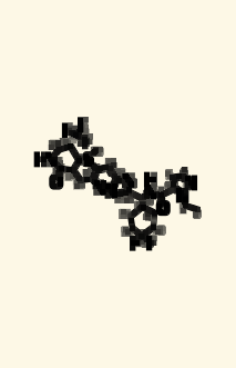 CCn1nccc1C(=O)NC(c1cn2nc(CC3C[C@@H](C(F)(F)F)CNC3=O)c(SC)cc2n1)C1CCC(F)(F)CC1